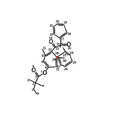 CCC(C)(C)C(=O)Oc1cc(C)c(C(=O)P(=O)(c2ccccc2)c2ccccc2)c(C)c1